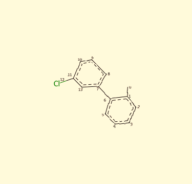 Cc1ccccc1-c1cccc(Cl)c1